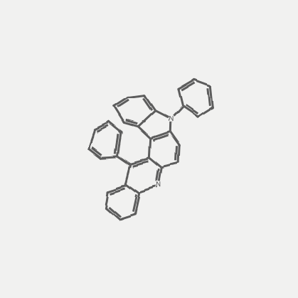 c1ccc(-c2c3ccccc3nc3ccc4c(c5ccccc5n4-c4ccccc4)c23)cc1